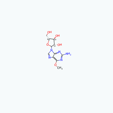 COc1nc(N)nc2c1ncn2C1O[C@H](CO)[C@@H](O)[C@@H]1O